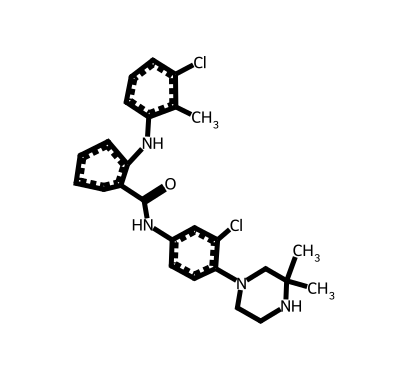 Cc1c(Cl)cccc1Nc1ccccc1C(=O)Nc1ccc(N2CCNC(C)(C)C2)c(Cl)c1